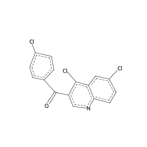 O=C(c1ccc(Cl)cc1)c1cnc2ccc(Cl)cc2c1Cl